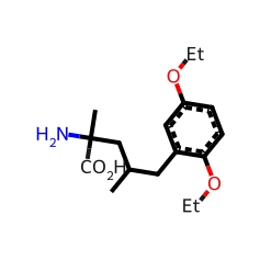 CCOc1ccc(OCC)c(CC(C)CC(C)(N)C(=O)O)c1